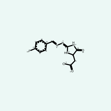 O=C(Cl)CC1N/C(=N\N=C\c2ccc(F)cc2)NC1=O